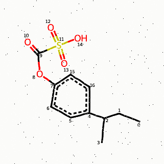 CCC(C)c1ccc(OC(=O)S(=O)(=O)O)cc1